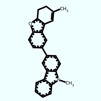 CC1=Cc2c(oc3ccc(-c4ccc5c(c4)c4ccccc4n5C)cc23)CC1